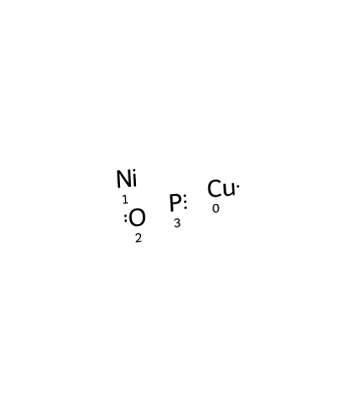 [Cu].[Ni].[O].[P]